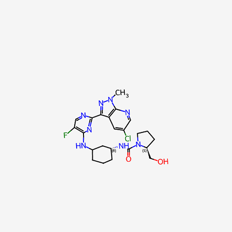 Cn1nc(-c2ncc(F)c(NC3CCC[C@@H](NC(=O)N4CCC[C@H]4CO)C3)n2)c2cc(Cl)cnc21